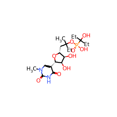 CCC(C)(C[C@H]1O[C@@H](c2cn(C)c(=O)[nH]c2=O)[C@H](O)[C@@H]1O)OP(=O)(O)C(O)(CC)CC